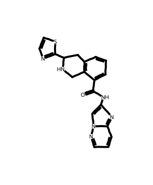 O=C(Nc1cn2ncccc2n1)c1cccc2c1CNC(c1nccs1)C2